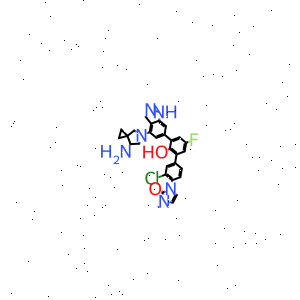 Cn1ccn(-c2ccc(-c3cc(F)cc(-c4cc(N5C[C@@H](N)C6(CC6)C5)c5cn[nH]c5c4)c3O)cc2Cl)c1=O